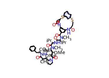 CC[C@H](C)[C@@H]([C@@H](CC(=O)N1CCC[C@H]1[C@H](OC)[C@@H](C)C(=O)N[C@@H](Cc1ccccc1)C(=O)O)OC)N(C)C(=O)[C@@H](NC(=O)[C@H](C(C)C)N(C)C(=O)c1cc2cc(c1)N1C(=O)CC(SC3=C\C(=C/C=C/C=C\3)SCCC(=O)N2)C1=O)C(C)C